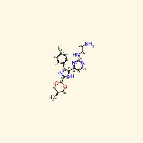 C=C1COC(c2nc(-c3ccc(F)cc3)c(-c3ccnc(NCCN)n3)[nH]2)OC1